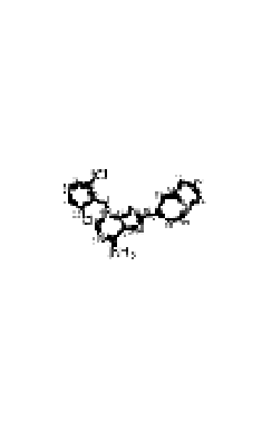 Nc1ncn(Cc2c(Cl)cncc2Cl)c2nc(-c3ccn4nccc4c3)nc1-2